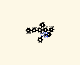 c1ccc(-c2ccc(-c3cc(C4=NC(c5ccccc5)NC(c5cccc(-c6ccccc6)c5-c5ccccc5)N4)cc(-c4ccccc4)c3)cc2)cc1